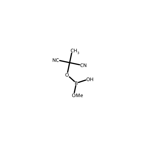 COB(O)OC(C)(C#N)C#N